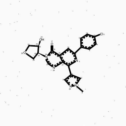 Cn1cc(-c2nc(-c3ccc(Cl)cc3)cc3c(=O)n([C@H]4COC[C@H]4O)cnc23)cn1